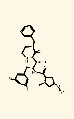 CCCO[C@H]1CC(C(=O)N[C@@H](Cc2cc(F)cc(F)c2)[C@H](O)[C@@H]2NCCN(Cc3ccccc3)C2=O)N(C)C1